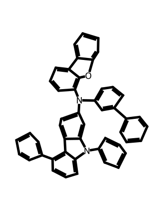 c1ccc(-c2cccc(N(c3ccc4c5c(-c6ccccc6)cccc5n(-c5ccccc5)c4c3)c3cccc4c3oc3ccccc34)c2)cc1